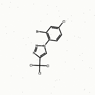 Clc1ccc(-n2cc(C(Cl)(Cl)Cl)nn2)c(Br)c1